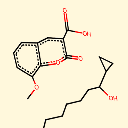 CCCCCCC(O)C1CC1.COc1cccc2cc(C(=O)O)c(=O)oc12